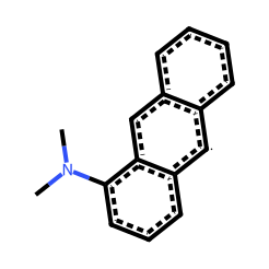 CN(C)c1cccc2[c]c3ccccc3cc12